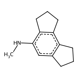 CNc1cc2c(c3c1CCC3)CCC2